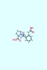 CN1C2CCC1(C(=O)O)CC(c1ccccc1CC(=O)O)C2